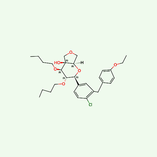 CCCCO[C@@H]1[C@@H](OCCCC)[C@]2(O)COC[C@H]2O[C@H]1c1ccc(Cl)c(Cc2ccc(OCC)cc2)c1